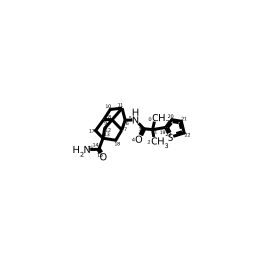 CC(C)(C(=O)NC1C2CC3CC1CC(C(N)=O)(C3)C2)c1cccs1